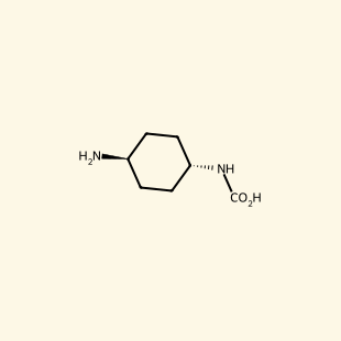 N[C@H]1CC[C@H](NC(=O)O)CC1